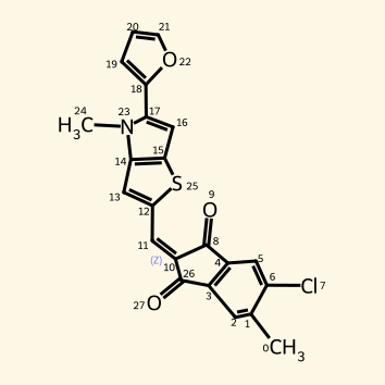 Cc1cc2c(cc1Cl)C(=O)/C(=C\c1cc3c(cc(-c4ccco4)n3C)s1)C2=O